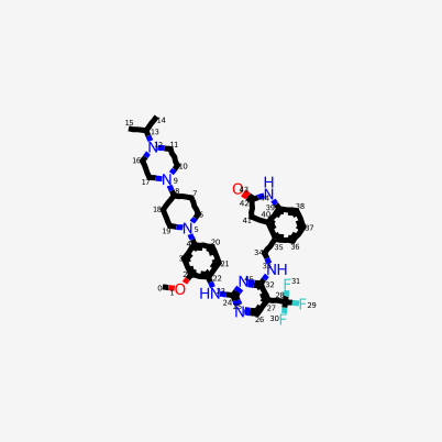 COc1cc(N2CCC(N3CCN(C(C)C)CC3)CC2)ccc1Nc1ncc(C(F)(F)F)c(NCc2cccc3c2CC(=O)N3)n1